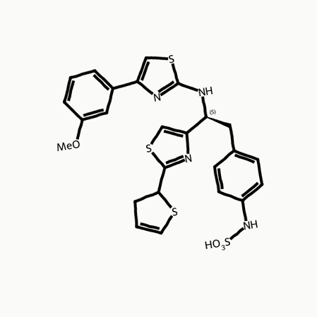 COc1cccc(-c2csc(N[C@@H](Cc3ccc(NS(=O)(=O)O)cc3)c3csc(C4CC=CS4)n3)n2)c1